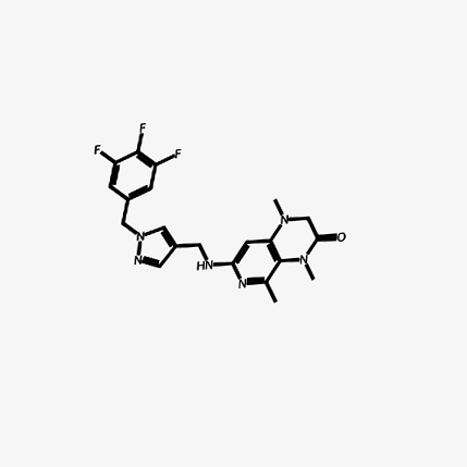 Cc1nc(NCc2cnn(Cc3cc(F)c(F)c(F)c3)c2)cc2c1N(C)C(=O)CN2C